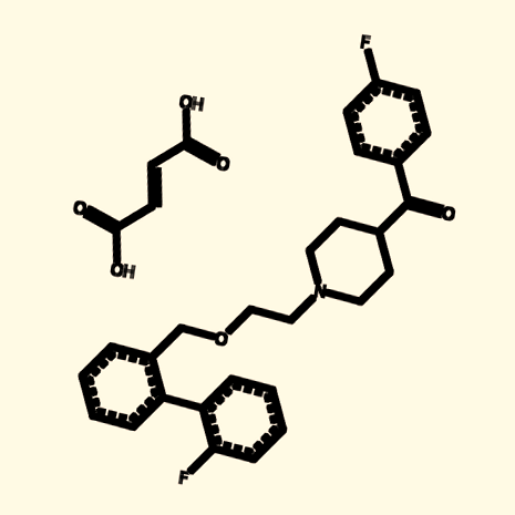 O=C(O)C=CC(=O)O.O=C(c1ccc(F)cc1)C1CCN(CCOCc2ccccc2-c2ccccc2F)CC1